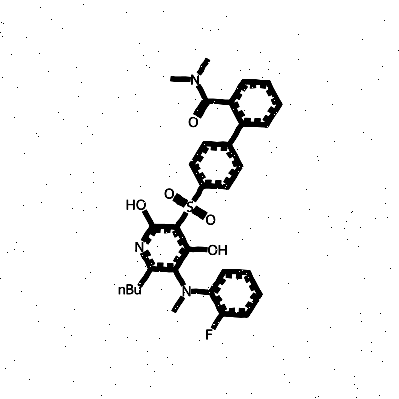 CCCCc1nc(O)c(S(=O)(=O)c2ccc(-c3ccccc3C(=O)N(C)C)cc2)c(O)c1N(C)c1ccccc1F